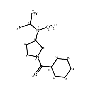 CCCC(F)N(C(=O)O)C1CCN(C(=O)C2CCCCC2)C1